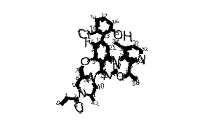 C=CC(=O)N1CC2COc3c(F)c(-c4c(O)cccc4Cl)cc4c3c(nc(=O)n4-c3c(C)ccnc3C(C)C)N2CC1C